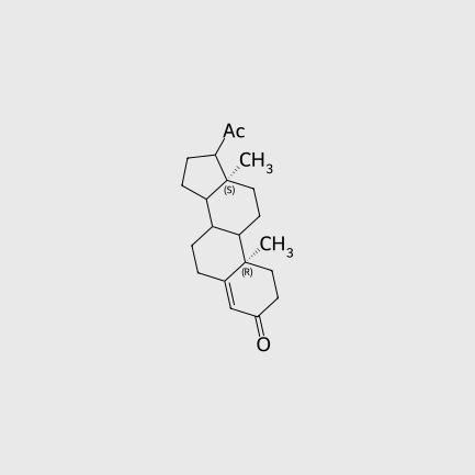 CC(=O)C1CCC2C3CCC4=CC(=O)CC[C@]4(C)C3CC[C@]12C